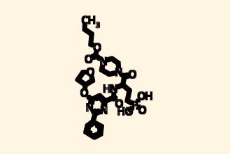 CCCCOC(=O)N1CCN(C(=O)C(CCP(=O)(O)O)NC(=O)c2cc(OC3CCOC3)nc(-c3ccccc3)n2)CC1